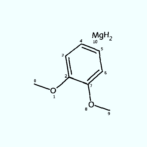 COc1ccccc1OC.[MgH2]